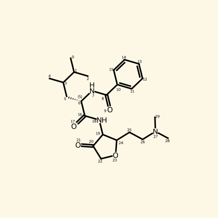 CC(C)C(C)C[C@H](NC(=O)c1ccccc1)C(=O)NC1C(=O)COC1CCN(C)C